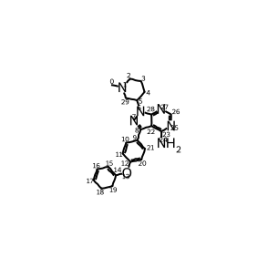 CN1CCCC(n2nc(-c3ccc(OC4=CC=CCC4)cc3)c3c(N)ncnc32)C1